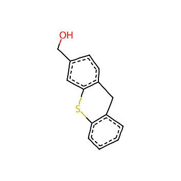 OCc1ccc2c(c1)Sc1ccccc1C2